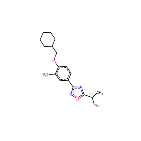 CCCCC(C)c1nc(-c2ccc(OCC3CCCCC3)c(C(F)(F)F)c2)no1